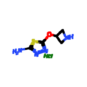 Cl.Nc1nnc(OC2CNC2)s1